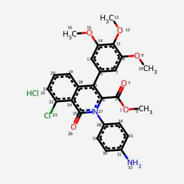 COC(=O)c1c(-c2cc(OC)c(OC)c(OC)c2)c2cccc(Cl)c2c(=O)n1-c1ccc(N)cc1.Cl